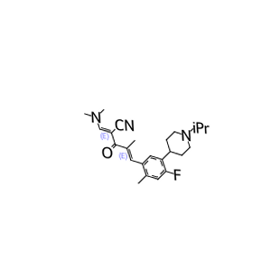 C/C(=C\c1cc(C2CCN(C(C)C)CC2)c(F)cc1C)C(=O)/C(C#N)=C/N(C)C